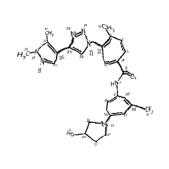 Cc1ccc(C(=O)Nc2cc(N3CCC(O)C3)cc(C(F)(F)F)c2)cc1-n1cc(-c2cnn(C)c2C)nn1